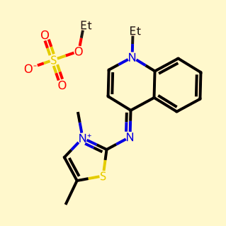 CCOS(=O)(=O)[O-].CCn1ccc(=Nc2sc(C)c[n+]2C)c2ccccc21